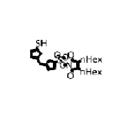 CCCCCCC1=C(CCCCCC)C(=O)N(OS(=O)(=O)C2=CC=C(CC3=CC=C(S)C3)C2)C1=O